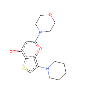 O=c1cc(N2CCOCC2)oc2c(N3CCCCC3)csc12